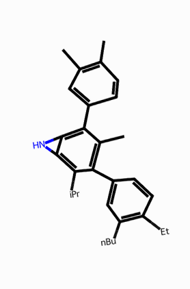 CCCCc1cc(-c2c(C)c(-c3ccc(C)c(C)c3)c3c(c2C(C)C)N3)ccc1CC